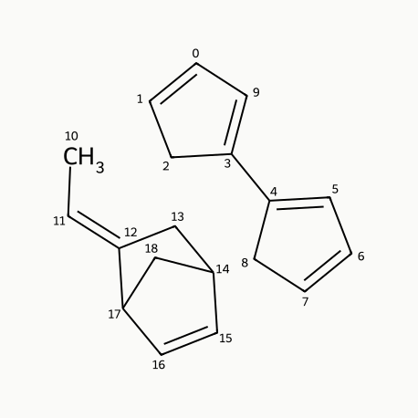 C1=CCC(C2=CC=CC2)=C1.CC=C1CC2C=CC1C2